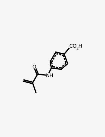 C=C(C)C(=O)Nc1ccc(C(=O)O)cc1